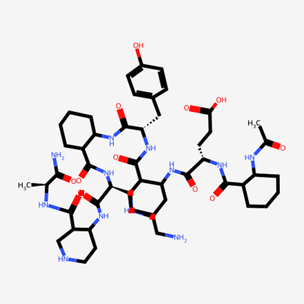 CC(=O)NC1CCCCC1C(=O)N[C@@H](CCC(=O)O)C(=O)NC1CCNCC1C(=O)N[C@@H](Cc1ccc(O)cc1)C(=O)NC1CCCCC1C(=O)N[C@@H](CCCCN)C(=O)NC1CCNCC1C(=O)N[C@@H](C)C(N)=O